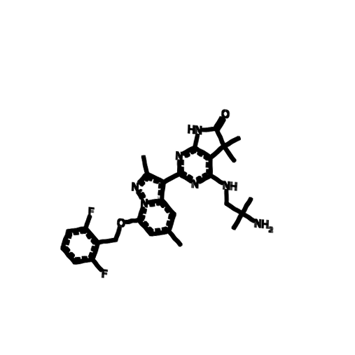 Cc1cc(OCc2c(F)cccc2F)n2nc(C)c(-c3nc(NCC(C)(C)N)c4c(n3)NC(=O)C4(C)C)c2c1